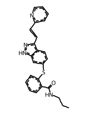 CCCNC(=O)c1ccccc1Sc1ccc2c(/C=C/c3ccccn3)n[nH]c2c1